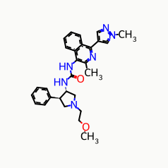 COCCN1C[C@@H](NC(=O)Nc2c(C)nc(-c3cnn(C)c3)c3ccccc23)[C@H](c2ccccc2)C1